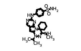 CNC1=NN(C(C)C)c2cc3cnc(Nc4ccc(S(N)(=O)=O)cc4)nc3n2C12CCCCC2